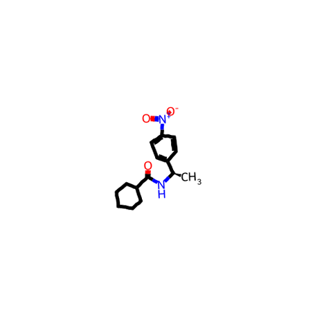 C[C@@H](NC(=O)C1CCCCC1)c1ccc([N+](=O)[O-])cc1